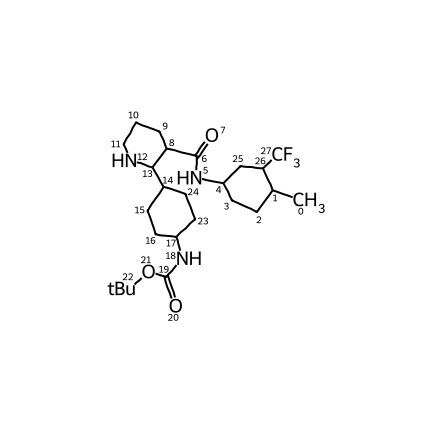 CC1CCC(NC(=O)C2CCCNC2C2CCC(NC(=O)OC(C)(C)C)CC2)CC1C(F)(F)F